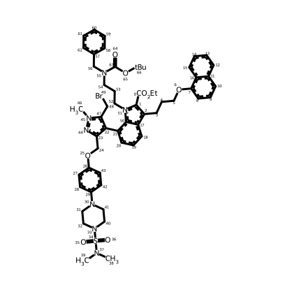 CCOC(=O)c1c(CCCOc2cccc3ccccc23)c2cccc(-c3c(COc4ccc(N5CCN(S(=O)(=O)N(C)C)CC5)cc4)nn(C)c3CBr)c2n1CCCN(Cc1ccccc1)C(=O)OC(C)(C)C